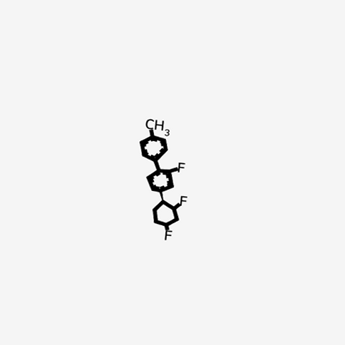 Cc1ccc(-c2ccc([C@@H]3CCC(F)CC3F)cc2F)cc1